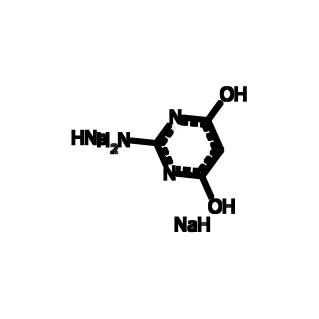 Nc1nc(O)cc(O)n1.[NaH].[NaH]